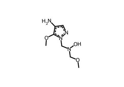 COCN(O)Cn1ncc(N)c1OC